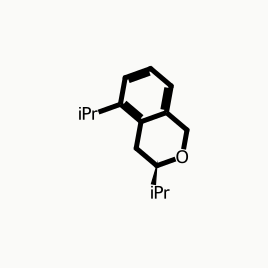 CC(C)c1cccc2c1C[C@H](C(C)C)OC2